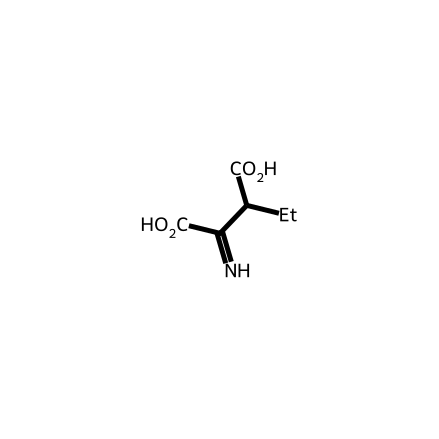 CCC(C(=N)C(=O)O)C(=O)O